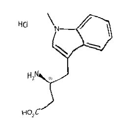 Cl.Cn1cc(C[C@H](N)CC(=O)O)c2ccccc21